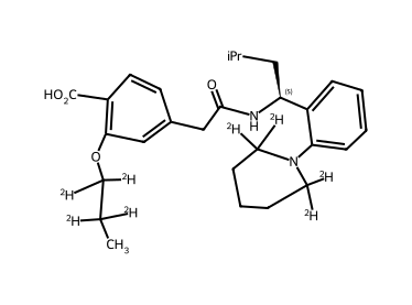 [2H]C1([2H])CCCC([2H])([2H])N1c1ccccc1[C@H](CC(C)C)NC(=O)Cc1ccc(C(=O)O)c(OC([2H])([2H])C([2H])([2H])C)c1